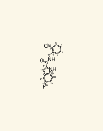 O=C(NCc1ccccc1Cl)c1cc2cc(F)ccc2[nH]1